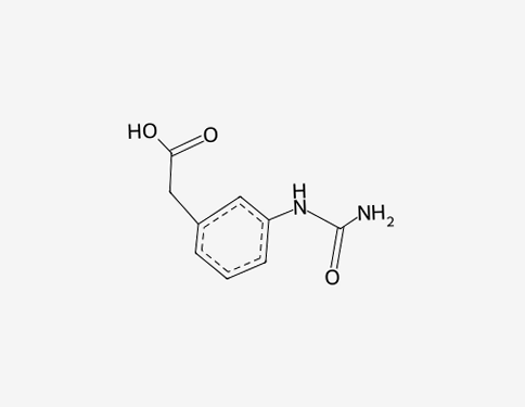 NC(=O)Nc1cccc(CC(=O)O)c1